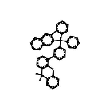 CC1(C)c2ccccc2Oc2c(-c3cccc(C4(c5ccccc5)c5ccccc5-c5cc6ccccc6cc54)c3)cccc21